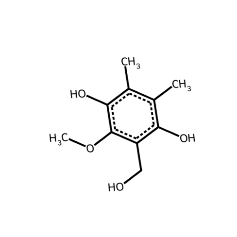 COc1c(O)c(C)c(C)c(O)c1CO